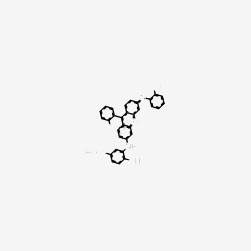 Cc1ccccc1N=c1ccc2c(-c3ccccc3C(=O)O)c3ccc(Nc4cc(S(=O)(=O)O)ccc4C)cc3oc-2c1